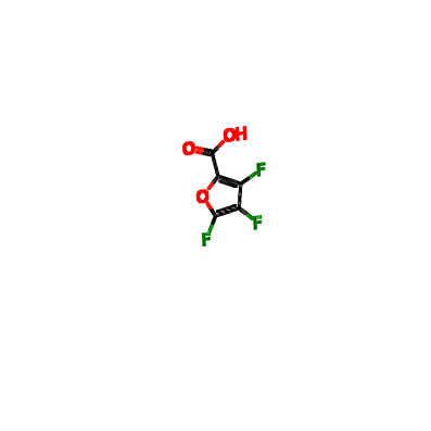 O=C(O)c1oc(F)c(F)c1F